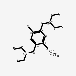 CC[S+](CC)Cc1cc(C)c(C[S+](CC)CC)cc1C.[Cl-].[Cl-]